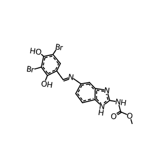 COC(=O)Nc1nc2cc(/N=C/c3cc(Br)c(O)c(Br)c3O)ccc2[nH]1